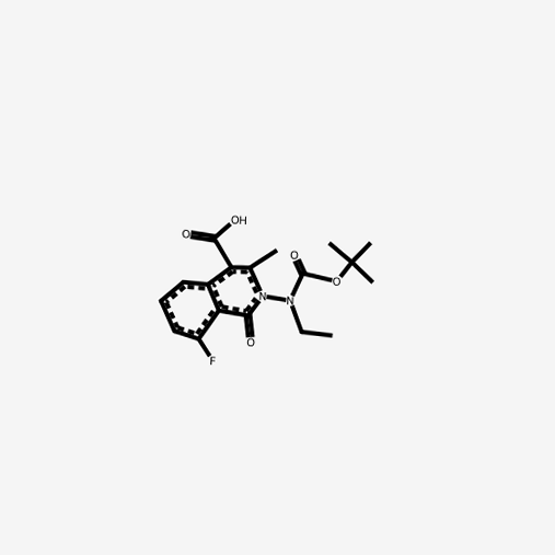 CCN(C(=O)OC(C)(C)C)n1c(C)c(C(=O)O)c2cccc(F)c2c1=O